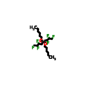 CCCCCC[O][Sn]([CH2]C(F)C(F)CF)([CH2]C(F)C(F)CF)[O]CCCCCC